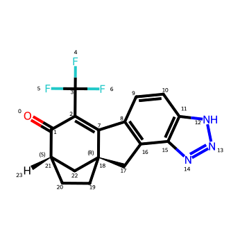 O=C1C(C(F)(F)F)=C2c3ccc4[nH]nnc4c3C[C@]23CC[C@H]1C3